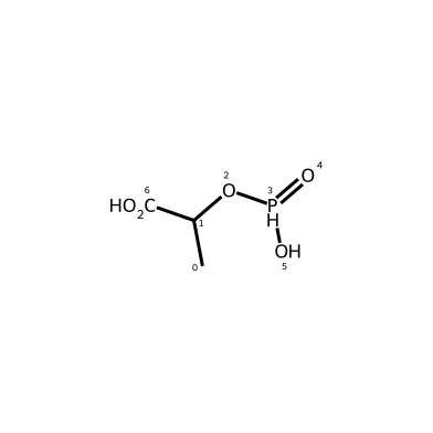 CC(O[PH](=O)O)C(=O)O